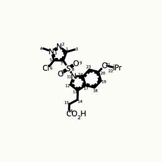 Cc1nn(C)c(Cl)c1S(=O)(=O)n1cc(CCC(=O)O)c2ccc(OC(C)C)cc21